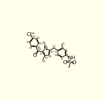 Cc1cc(NS(C)(=O)=O)ccc1Cc1cc(C)c(C(=O)c2ccc(Cl)cc2)n1C